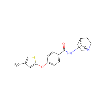 O=C(NC1CC2CCN(CC2)C1)c1ccc(Oc2cc(C(F)(F)F)cs2)cc1